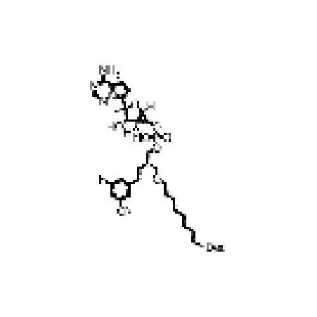 CCCCCCCCCCCCCCCCCCOC[C@@H](CCc1cc(F)cc(C#N)c1)COP(=O)(O)OC1[C@H]2O[C@@](C)(c3ccc4c(N)ncnn34)[C@H](O)[C@@]12O